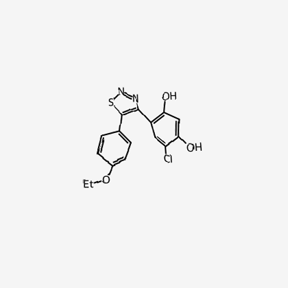 CCOc1ccc(-c2snnc2-c2cc(Cl)c(O)cc2O)cc1